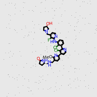 COc1nc(-c2ccnc(-c3cccc(Nc4nccc(CN5CC[C@@H](O)C5)c4F)c3Cl)c2Cl)ccc1CNC[C@@H]1CCC(=O)N1